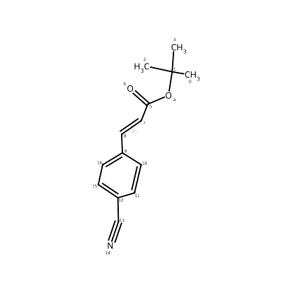 CC(C)(C)OC(=O)/C=C/c1ccc(C#N)cc1